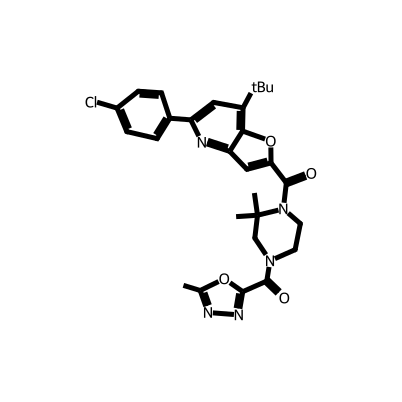 Cc1nnc(C(=O)N2CCN(C(=O)c3cc4nc(-c5ccc(Cl)cc5)cc(C(C)(C)C)c4o3)C(C)(C)C2)o1